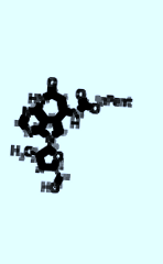 CCCCCOC(=O)NC1=CC(=O)Nc2ncnc3c2c1cn3[C@@H]1O[C@H](CO)C[C@@H]1C